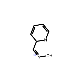 O/N=C\C1C=CC=C[N]1